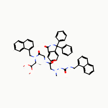 CCOC(OCC)[C@H](C)N(Cc1cccc2ccccc12)C(=O)[C@H](CC(=O)NC(c1ccccc1)(c1ccccc1)c1ccccc1)NC(=O)CN(C)NC(=O)NCc1cccc2ccccc12